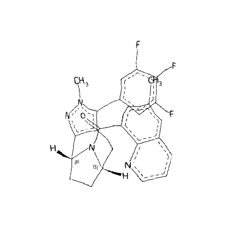 Cc1cc(C(=O)N2[C@H]3CC[C@@H]2c2nn(C)c(-c4cc(F)c(F)c(F)c4)c2C3)c2ncccc2c1